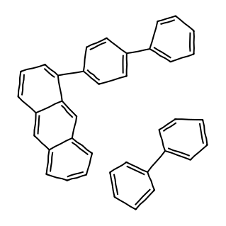 c1ccc(-c2ccc(-c3cccc4cc5ccccc5cc34)cc2)cc1.c1ccc(-c2ccccc2)cc1